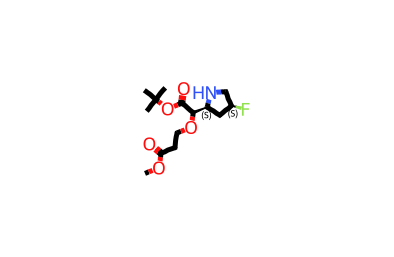 COC(=O)CCOC(C(=O)OC(C)(C)C)[C@@H]1C[C@H](F)CN1